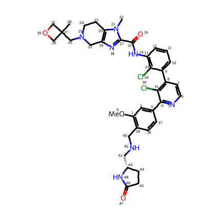 COc1cc(-c2nccc(-c3cccc(NC(=O)c4nc5c(n4C)CCN(CC4(C)COC4)C5)c3Cl)c2Cl)ccc1CNC[C@@H]1CCC(=O)N1